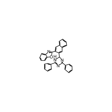 c1ccc(C2=NC(c3cc4ccccc4cc3-c3nc4ccccc4o3)NC(c3ccccc3)=N2)cc1